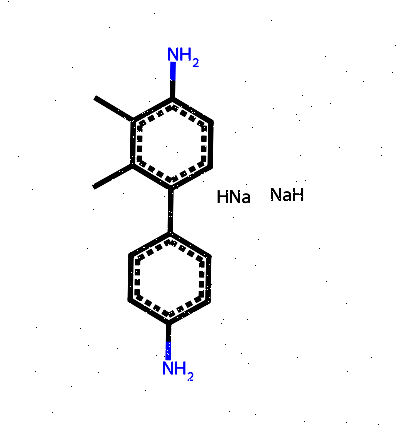 Cc1c(N)ccc(-c2ccc(N)cc2)c1C.[NaH].[NaH]